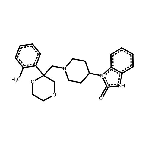 Cc1ccccc1C1(CN2CCC(n3c(=O)[nH]c4ccccc43)CC2)COCCO1